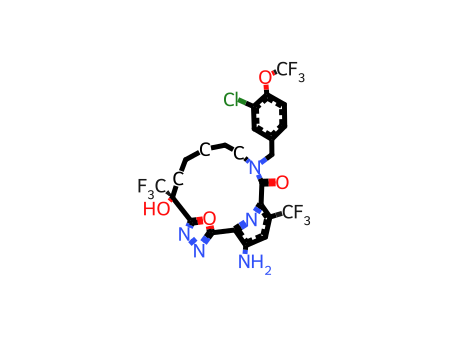 Nc1cc(C(F)(F)F)c2nc1-c1nnc(o1)[C@@](O)(C(F)(F)F)CCCCCN(Cc1ccc(OC(F)(F)F)c(Cl)c1)C2=O